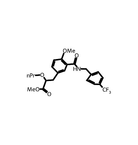 CCCOC(Cc1ccc(OC)c(C(=O)NCc2ccc(C(F)(F)F)cc2)c1)C(=O)OC